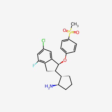 CS(=O)(=O)c1ccc(O[C@@H]2c3cc(Cl)cc(F)c3C[C@H]2[C@@H]2CCC[C@H]2N)cc1